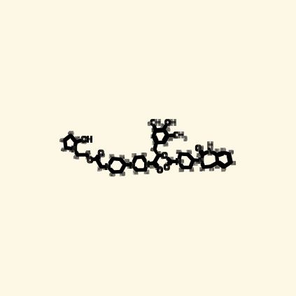 Cc1cc(C[C@@H](OC(=O)N2CCC(N3CCc4ccccc4NC3=O)CC2)C(=O)N2CCN(C3CCN(CC(=O)OCCN4CCCC4O)CC3)CC2)cc(C)c1O